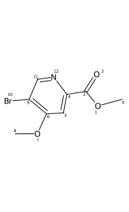 COC(=O)c1cc(OC)c(Br)cn1